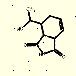 CC(O)C1CC=CC2C(=O)NC(=O)C21